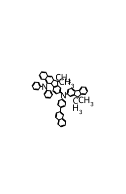 CC1(C)c2ccccc2-c2ccc(N(c3ccc(-c4ccc5ccccc5c4)cc3)c3ccc4c(c3)C(C)(C)C3C=c5ccccc5=C(N(c5ccccc5)c5ccccc5)C43)cc21